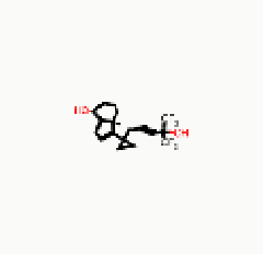 C[C@]12CCC[C@H](O)C1CC=C2C1(CC#CC(O)(C(F)(F)F)C(F)(F)F)CC1